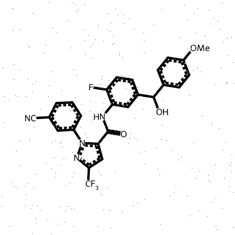 COc1ccc(C(O)c2ccc(F)c(NC(=O)c3cc(C(F)(F)F)nn3-c3cccc(C#N)c3)c2)cc1